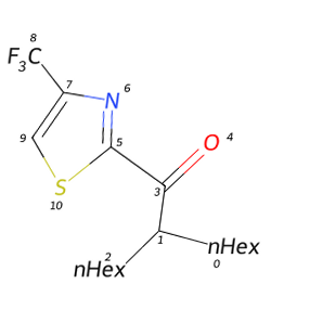 CCCCCCC(CCCCCC)C(=O)c1nc(C(F)(F)F)cs1